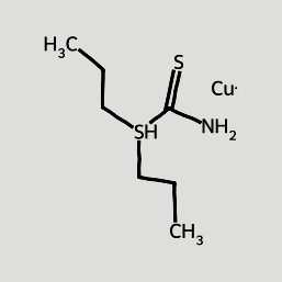 CCC[SH](CCC)C(N)=S.[Cu]